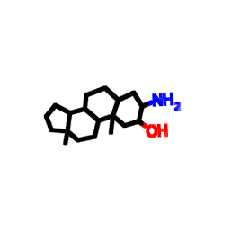 CC12CCCC1C1CCC3CC(N)C(O)CC3(C)C1CC2